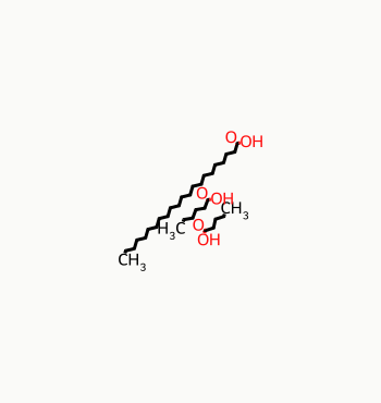 CCCCC(=O)O.CCCCCC(=O)O.CCCCCCCCCCCCCCCCCCCCCC(=O)O